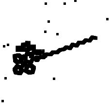 CCCCCCCCCCCCCCCCCCOCCC(Oc1nc(N)nc2nc[nH]c12)C(c1ccccc1)(c1ccccc1)c1ccccc1